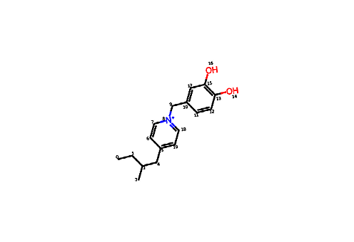 CCC(C)Cc1cc[n+](Cc2ccc(O)c(O)c2)cc1